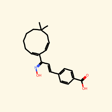 CC1(C)C\C=C/C(C(/C=C/c2ccc(C(=O)O)cc2)=N/O)=C\CCCC1